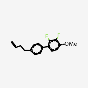 C=CCCc1ccc(-c2ccc(OC)c(F)c2F)cc1